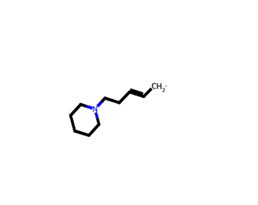 [CH2]C=CCCN1CCCCC1